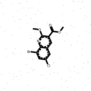 COC(=O)c1cc2cc(Cl)cc(Br)c2nc1OC